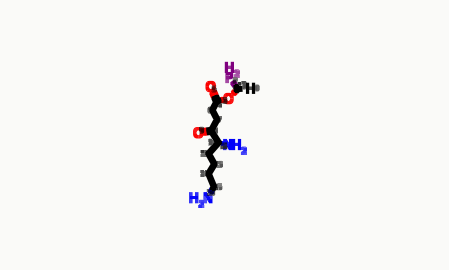 [3H]C(P)OC(=O)CCC(=O)[C@@H](N)CCCCN